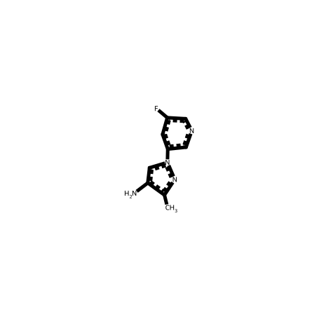 Cc1nn(-c2cncc(F)c2)cc1N